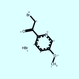 Br.COc1ccc(C(=O)CBr)nc1